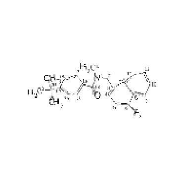 CN(Cc1ccc(F)c2ccccc12)C(=O)c1ccc(C(C)(C)C)cc1